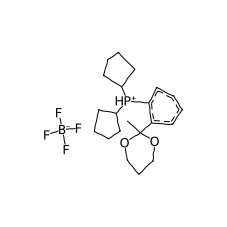 CC1(c2ccccc2[PH+](C2CCCC2)C2CCCC2)OCCCO1.F[B-](F)(F)F